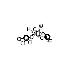 C[C@@H]1CN(COc2ccc(Cl)c(Cl)c2Cl)[C@@H](C)C(=C=O)N1Cc1ccc(F)cc1